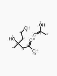 CC(=O)O.CC(O)(CCO)CC(=O)O